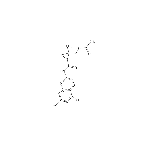 CC(=O)OCC1(C)CC1C(=O)Nc1cc2cc(Cl)nc(Cl)c2cn1